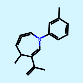 C=C(C)C1=CN(c2cccc(C)c2)C=C=CC1C